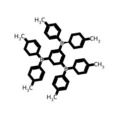 CC1=CCC(B(C2=CC(B(c3ccc(C)cc3)[C@@H]3CC=C(C)CC3)=CC(B(C3=CCC(C)C=C3)C3C=CC(C)CC3)C2)c2ccc(C)cc2)C=C1